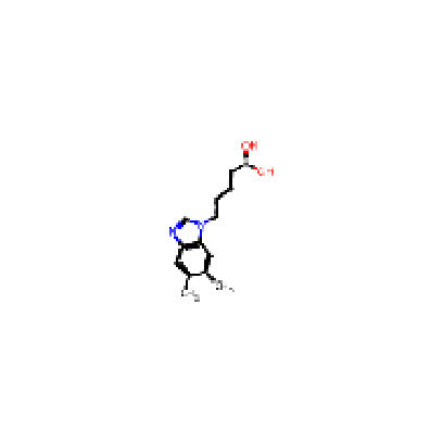 Cc1cc2ncn(CCCCB(O)O)c2cc1C